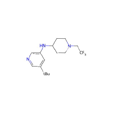 CC(C)(C)c1cncc(NC2CCN(CC(F)(F)F)CC2)c1